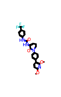 COc1ccc(-c2ccc(N3CCC=C(NC(=O)Nc4ccc(C(F)(F)F)cc4)C3=O)cc2)c(OC)n1